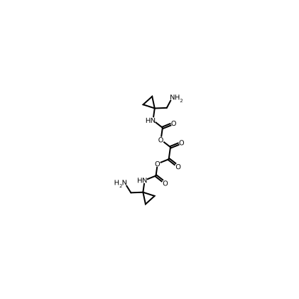 NCC1(NC(=O)OC(=O)C(=O)OC(=O)NC2(CN)CC2)CC1